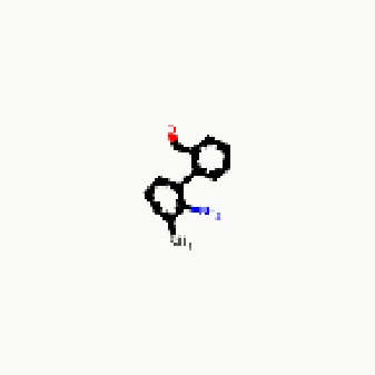 Cc1cccc(-c2ccccc2C=O)c1N